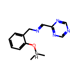 C[SiH](C)Oc1ccccc1CN=Cc1ncncn1